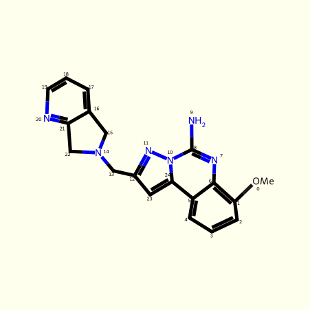 COc1cccc2c1nc(N)n1nc(CN3Cc4cccnc4C3)cc21